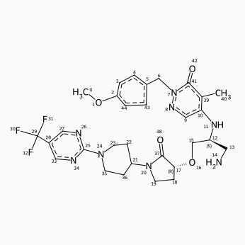 COc1ccc(Cn2ncc(N[C@@H](CN)CO[C@@H]3CCN(C4CCN(c5ncc(C(F)(F)F)cn5)CC4)C3=O)c(C)c2=O)cc1